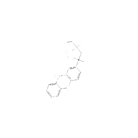 CC(C)(CBr)CC(C)(C)c1ccc2c(c1)Nc1ccccc1S2